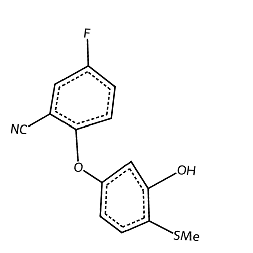 CSc1ccc(Oc2ccc(F)cc2C#N)cc1O